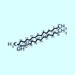 CCCCCCCCCCCCCCCCC.CCCCCCCCCCCCOCCO